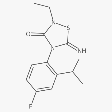 CCn1sc(=N)n(-c2ccc(F)cc2C(C)C)c1=O